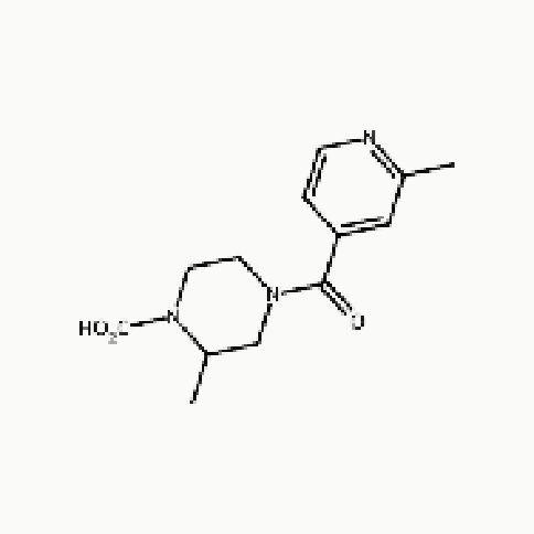 Cc1cc(C(=O)N2CCN(C(=O)O)C(C)C2)ccn1